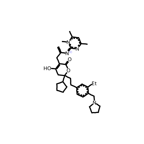 C=C(CC1=C(O)CC(CCc2ccc(CN3CCCC3)c(CC)c2)(C2CCCC2)OC1=O)/N=c1/nc(C)cc(C)n1C